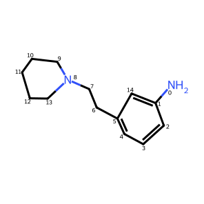 Nc1cccc(CCN2CCCCC2)c1